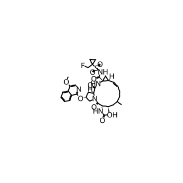 COc1cnc(O[C@@H]2C[C@H]3C(=O)N[C@]4(C(=O)NS(=O)(=O)C5(CF)CC5)C[C@H]4/C=C\CCC(C)C[C@@H](C)[C@H](NC(=O)O)C(=O)N3C2)c2ccccc12